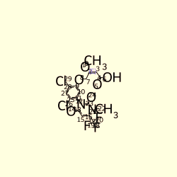 CO/C(=C/C(=O)O)COc1cc(-n2c(=O)cc(C(F)(F)F)n(C)c2=O)c(Cl)cc1Cl